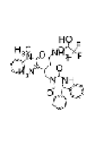 CN(C(=O)[C@@H](N)C(CCN)CN1C(=O)NC(c2ccccc2)(c2ccccc2)C1=O)c1ccccc1.O=C(O)C(F)(F)F